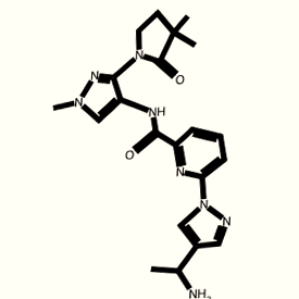 CC(N)c1cnn(-c2cccc(C(=O)Nc3cn(C)nc3N3CCC(C)(C)C3=O)n2)c1